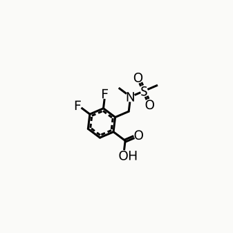 CN(Cc1c(C(=O)O)ccc(F)c1F)S(C)(=O)=O